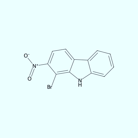 O=[N+]([O-])c1ccc2c([nH]c3ccccc32)c1Br